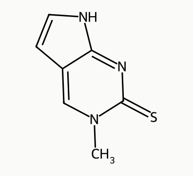 Cn1cc2cc[nH]c2nc1=S